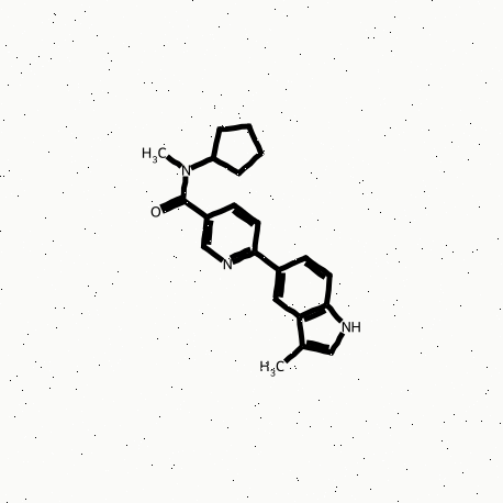 Cc1c[nH]c2ccc(-c3ccc(C(=O)N(C)C4CCCC4)cn3)cc12